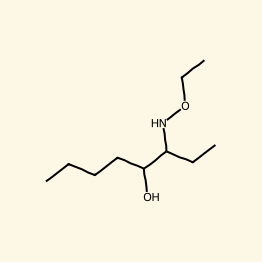 CCCCC(O)C(CC)NOCC